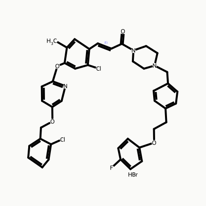 Br.Cc1cc(/C=C/C(=O)N2CCN(Cc3ccc(CCOc4ccc(F)cc4)cc3)CC2)c(Cl)cc1Oc1ccc(OCc2ccccc2Cl)cn1